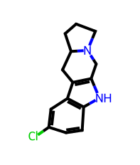 Clc1ccc2[nH]c3c(c2c1)CC1CCCN1C3